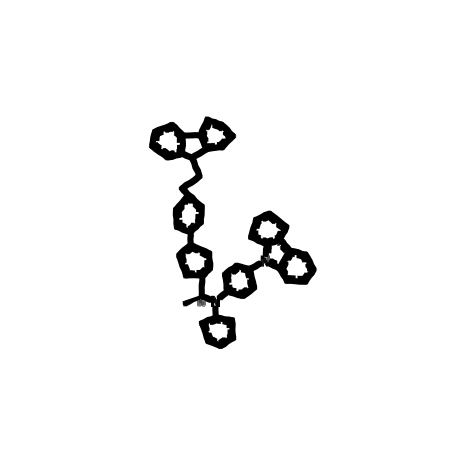 C[C@@H](c1ccc(-c2ccc(CCC3c4ccccc4-c4ccccc43)cc2)cc1)N(c1ccccc1)c1ccc(-n2c3ccccc3c3ccccc32)cc1